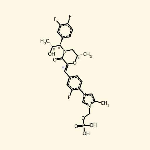 Cc1cn(-c2ccc(/C=C3\O[C@@H](C)CN([C@H](c4ccc(F)c(F)c4)[C@@H](C)O)C3=O)cc2F)c[n+]1COP(=O)(O)O